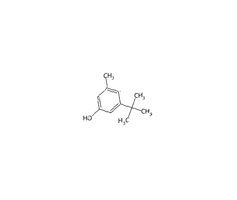 Cc1[c]c(C(C)(C)C)cc(O)c1